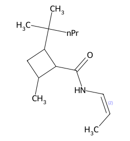 C/C=C\NC(=O)C1C(C)CC1C(C)(C)CCC